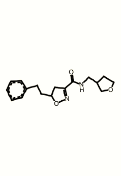 O=C(NCC1CCOC1)C1=NOC(CCc2ccccc2)C1